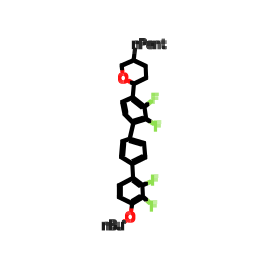 CCCCCC1CCC(c2ccc(-c3ccc(-c4ccc(OCCCC)c(F)c4F)cc3)c(F)c2F)OC1